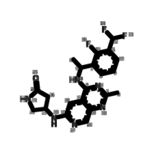 Cc1nc(NC(C)c2cccc(C(F)F)c2F)c2cc(NC3CNC(=O)C3)ncc2n1